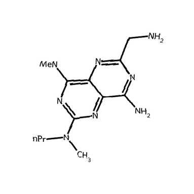 CCCN(C)c1nc(NC)c2nc(CN)nc(N)c2n1